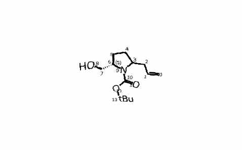 C=CCC1CC[C@@H](CO)N1C(=O)OC(C)(C)C